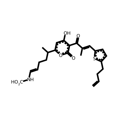 C=CCCc1ccc(/C=C(\C)C(=O)c2c(O)cc(C(C)CCC=CNC(=O)O)oc2=O)s1